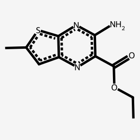 CCOC(=O)c1nc2cc(C)sc2nc1N